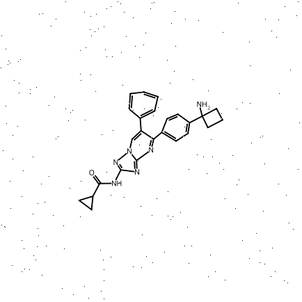 NC1(c2ccc(-c3nc4nc(NC(=O)C5CC5)nn4cc3-c3ccccc3)cc2)CCC1